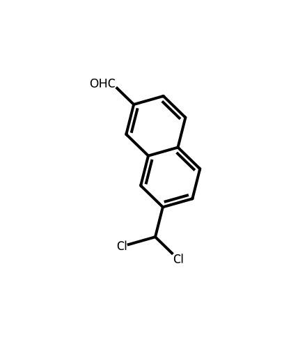 O=Cc1ccc2ccc(C(Cl)Cl)cc2c1